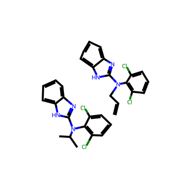 C=CCN(c1nc2ccccc2[nH]1)c1c(Cl)cccc1Cl.CC(C)N(c1nc2ccccc2[nH]1)c1c(Cl)cccc1Cl